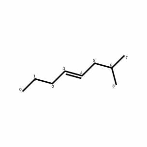 C[CH]C/C=C/CC(C)C